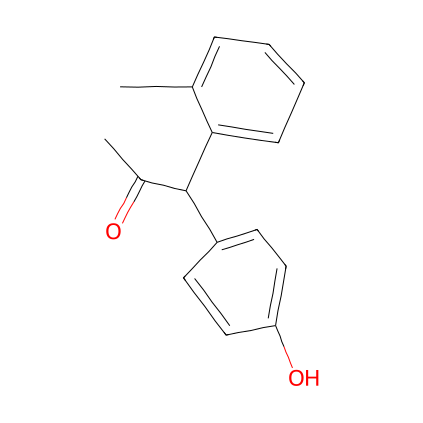 CC(=O)C(c1ccc(O)cc1)c1ccccc1C